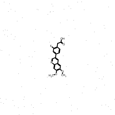 COc1cc2cc(-c3ccc(CC(=O)O)c(F)c3)cnc2cc1OC